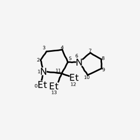 CCN1CCCC(N2CCCC2)C1(CC)CC